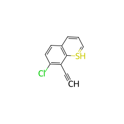 C#Cc1c(Cl)ccc2c1[SH]=CC=C2